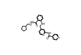 O=C(Nc1cc(CNc2ccccc2C(=O)NOCC2CCCC2)ccn1)c1ccncc1